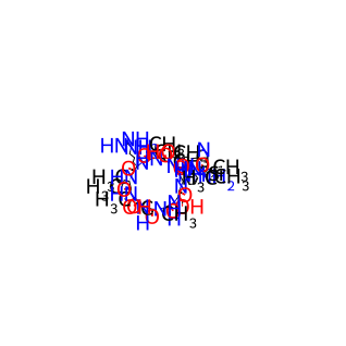 CC[C@H](C)[C@@H]1NC(=O)[C@@H](CCCNC(=N)N)NC(=O)[C@H](CC(C)C)NC(=O)[C@H]([C@H](O)C(C)C)NC(=O)[C@@H](NC(=O)[C@H](Cc2cccnc2)NC(=O)[C@H](N)C[Si](C)(C)C)[C@@H](c2ccccc2)NC(=O)C(CO)NC(=O)[C@H](C)NC(=O)CNC(=O)[C@H]([C@H](C)O)NC1=O